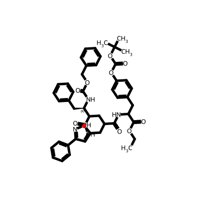 CCOC(=O)C(Cc1ccc(OC(=O)OC(C)(C)C)cc1)NC(=O)C(Cc1cc(-c2ccccc2)no1)CC([C@@H](Cc1ccccc1)NC(=O)OCc1ccccc1)[PH](=O)O